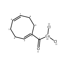 O=[C](C1=CCCC=CCC1)[Co]([Cl])[Cl]